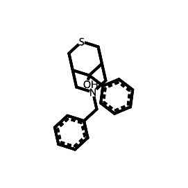 OC1(c2ccccc2)C2CSCC1CN(Cc1ccccc1)C2